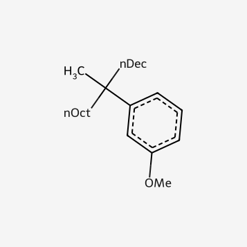 CCCCCCCCCCC(C)(CCCCCCCC)c1cccc(OC)c1